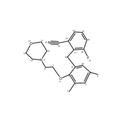 Cc1cc(C)c(OCCN2CCOCC2)c(Cc2c(F)cccc2C#N)c1